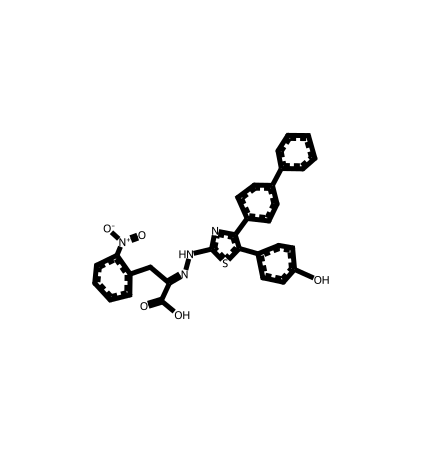 O=C(O)/C(Cc1ccccc1[N+](=O)[O-])=N/Nc1nc(-c2ccc(-c3ccccc3)cc2)c(-c2ccc(O)cc2)s1